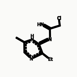 CCc1ncc(C)[nH]/c1=N\C(=N)CCl